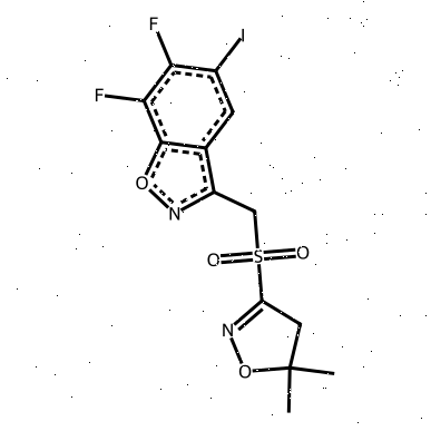 CC1(C)CC(S(=O)(=O)Cc2noc3c(F)c(F)c(I)cc23)=NO1